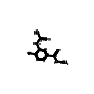 COC(=O)c1ccc(F)c(NC(=O)O)c1